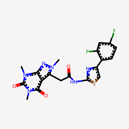 Cn1nc2c(c1CC(=O)Nc1nc(-c3ccc(F)cc3F)cs1)c(=O)n(C)c(=O)n2C